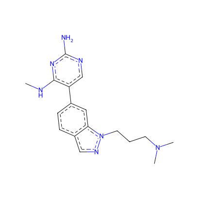 CNc1nc(N)ncc1-c1ccc2cnn(CCCN(C)C)c2c1